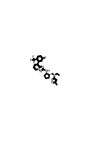 CCN(C[C@@H]1CCC[C@H]1Nc1nc2c(-c3cc(F)ccc3C(F)(F)F)cccn2n1)c1cc(C)ns1